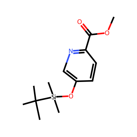 COC(=O)c1ccc(O[Si](C)(C)C(C)(C)C)cn1